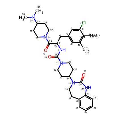 CNc1c(Cl)cc(C[C@@H](NC(=O)N2CCC(N3CCc4ccccc4NC3=O)CC2)C(=O)N2CCC(N(C)C)CC2)cc1C(F)(F)F